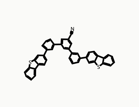 N#Cc1cc(-c2cccc(-c3ccc4c(c3)sc3ccccc34)c2)cc(-c2cccc(-c3ccc4c(c3)sc3ccccc34)c2)c1